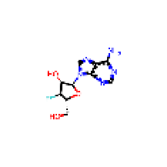 Nc1ncnc2c1ncn2[C@H]1O[C@H](CO)[C@@H](F)[C@@H]1O